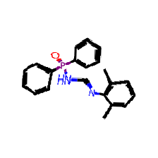 Cc1cccc(C)c1/N=C/NP(=O)(c1ccccc1)c1ccccc1